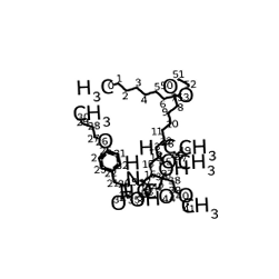 CCCCCCCC1(CCCCCCC(C[C@H](C(=O)NC(Cc2ccc(OCCCC)cc2)C(=O)O)[C@@](O)(CCOC)C(C)=O)OC(C)(C)C)OCCO1